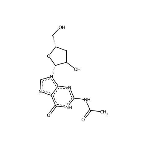 CC(=O)Nc1nc2c(ncn2[C@@H]2O[C@H](CO)CC2O)c(=O)[nH]1